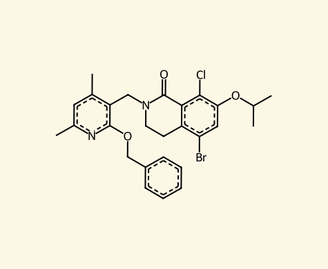 Cc1cc(C)c(CN2CCc3c(Br)cc(OC(C)C)c(Cl)c3C2=O)c(OCc2ccccc2)n1